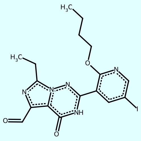 CCCCOc1ncc(I)cc1-c1nn2c(CC)nc(C=O)c2c(=O)[nH]1